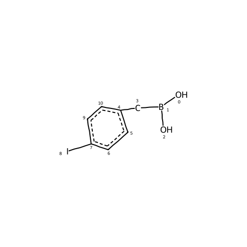 OB(O)Cc1ccc(I)cc1